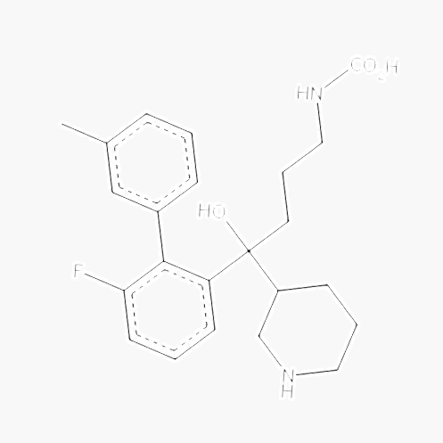 Cc1cccc(-c2c(F)cccc2C(O)(CCCNC(=O)O)C2CCCNC2)c1